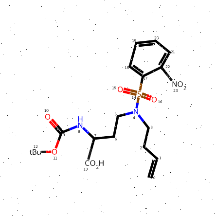 C=CCCN(CCC(NC(=O)OC(C)(C)C)C(=O)O)S(=O)(=O)c1ccccc1[N+](=O)[O-]